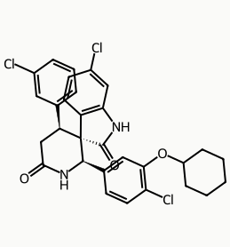 O=C1C[C@@H](c2cccc(Cl)c2)[C@]2(C(=O)Nc3cc(Cl)ccc32)[C@@H](c2ccc(Cl)c(OC3CCCCC3)c2)N1